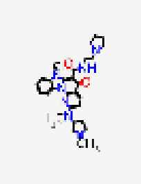 CN1CCC(N(C)c2ccc3c(=O)c(C(=O)NCCN4CCCC4)c4n(C)c5ccccc5n4c3n2)C1